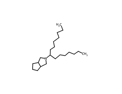 CCCCCCCC(CCCCCCC)N1CC2CCCC2C1